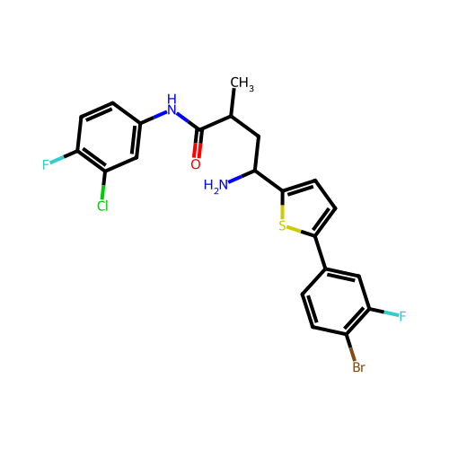 CC(CC(N)c1ccc(-c2ccc(Br)c(F)c2)s1)C(=O)Nc1ccc(F)c(Cl)c1